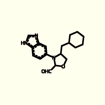 O=CC1OCC(CC2CCCCC2)N1c1ccc2[nH]cnc2c1